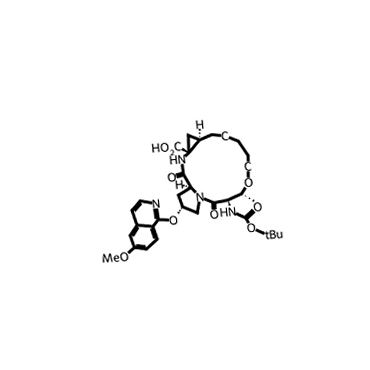 COc1ccc2c(O[C@@H]3C[C@H]4C(=O)N[C@]5(C(=O)O)C[C@H]5CCCCCO[C@H](C)[C@H](NC(=O)OC(C)(C)C)C(=O)N4C3)nccc2c1